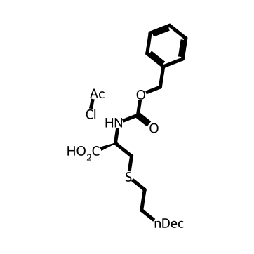 CC(=O)Cl.CCCCCCCCCCCCSC[C@H](NC(=O)OCc1ccccc1)C(=O)O